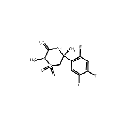 C=C1N[C@](C)(c2cc(F)c(F)cc2F)CS(=O)(=O)N1C